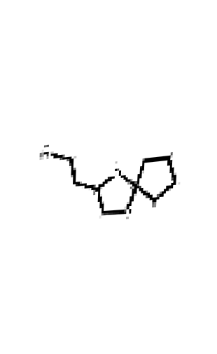 CC(C)CCC1COC2(CCCC2)O1